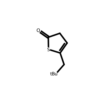 CC(C)(C)CC1=CCC(=O)S1